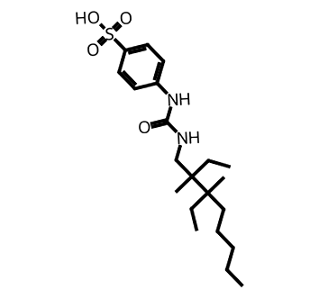 CCCCCC(C)(CC)C(C)(CC)CNC(=O)Nc1ccc(S(=O)(=O)O)cc1